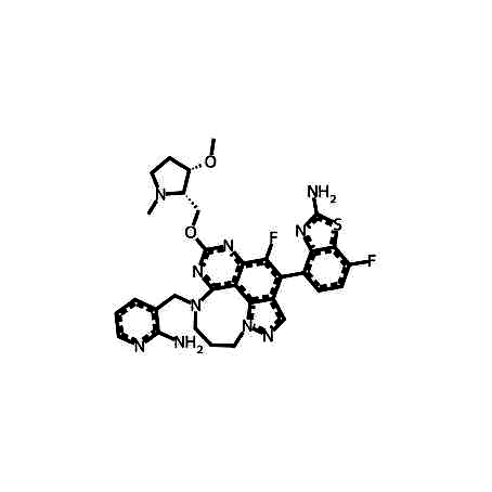 CO[C@H]1CCN(C)[C@H]1COc1nc2c3c(n1)c(F)c(-c1ccc(F)c4sc(N)nc14)c1cnn(c13)CCCN2Cc1cccnc1N